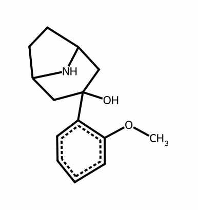 COc1ccccc1C1(O)CC2CCC(C1)N2